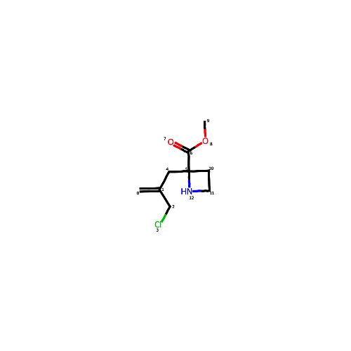 C=C(CCl)CC1(C(=O)OC)CCN1